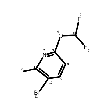 Cc1nc(OC(F)F)ccc1Br